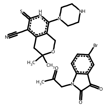 CC(=O)CN1C(=O)C(=O)c2cc(Br)ccc21.CC1(C)Cc2c(c(N3CCNCC3)[nH]c(=S)c2C#N)CO1